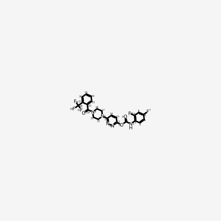 O=C(Nc1ccc(F)cc1F)Oc1ccc(N2CCN(C(=O)c3ccccc3C(F)(F)F)CC2)nn1